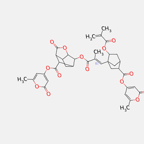 C=C(C)C(=O)OC1CC2CC1(/C=C(\C)C(=O)OC1C3CC4C1OC(=O)C4C3C(=O)Oc1cc(C)oc(=O)c1)CC2C(=O)Oc1cc(C)oc(=O)c1